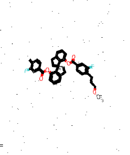 Cc1ccc(C(=O)Oc2cccc3c2[C@@]2(CC3)CCc3cccc(OC(=O)c4ccc(CCCOC(F)(F)F)c(F)c4)c32)cc1F